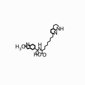 Cn1cc2cc(C(=O)NC(CCCCCCCc3ccc4c(n3)NCCC4)C(=O)O)ccc2n1